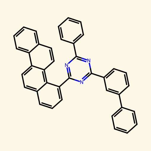 c1ccc(-c2cccc(-c3nc(-c4ccccc4)nc(-c4cccc5ccc6c7ccccc7ccc6c45)n3)c2)cc1